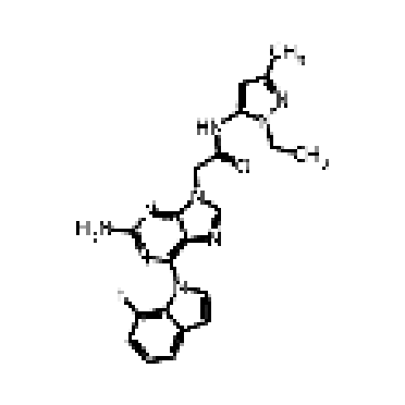 CCn1nc(C)cc1NC(=O)Cn1cnc2c(-n3ccc4cccc(F)c43)nc(N)nc21